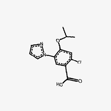 CC(C)Oc1cc(Cl)c(C(=O)O)cc1-n1cccn1